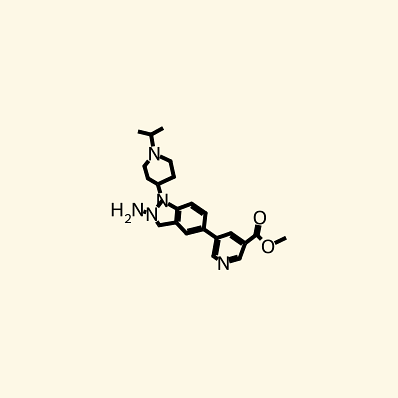 COC(=O)c1cncc(-c2ccc3c(c2)CN(N)N3C2CCN(C(C)C)CC2)c1